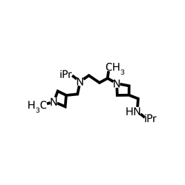 CC(C)NCC1CN(C(C)CCN(CC2CN(C)C2)C(C)C)C1